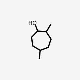 CC1CCC(C)C(O)CC1